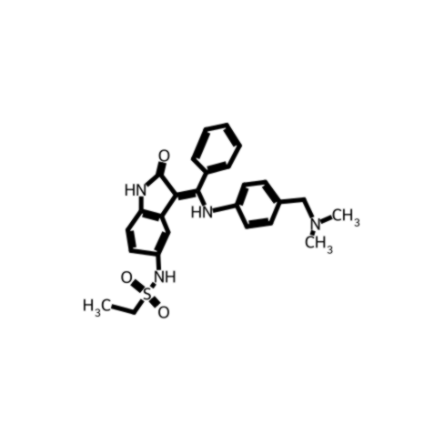 CCS(=O)(=O)Nc1ccc2c(c1)C(=C(Nc1ccc(CN(C)C)cc1)c1ccccc1)C(=O)N2